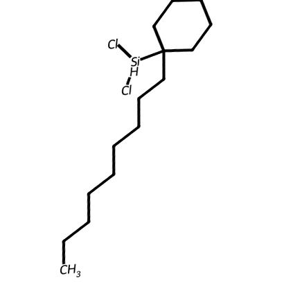 CCCCCCCCCC1([SiH](Cl)Cl)CCCCC1